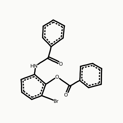 O=C(Nc1cccc(Br)c1OC(=O)c1ccccc1)c1ccccc1